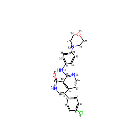 O=c1[nH]cc(-c2ccc(Cl)cc2)c2ccnc(Nc3ccc(N4CCOCC4)cc3)c12